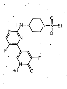 CCC(C)n1cc(-c2nc(NC3CCN(S(=O)(=O)CC)CC3)ncc2F)cc(F)c1=O